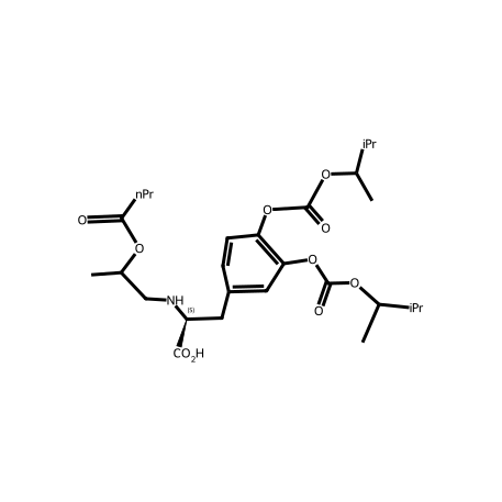 CCCC(=O)OC(C)CN[C@@H](Cc1ccc(OC(=O)OC(C)C(C)C)c(OC(=O)OC(C)C(C)C)c1)C(=O)O